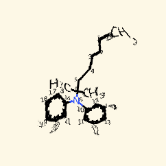 CCCCCCC(C)(C)N(c1ccccc1)c1ccccc1